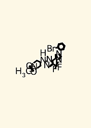 CS(=O)(=O)N1CCC(Nc2ncc(C(F)(F)F)c(-c3cn(-c4ccccc4Br)cn3)n2)CC1